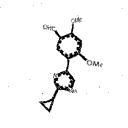 COc1cc(OC)c(-c2c[nH]c(C3CC3)n2)cc1C=O